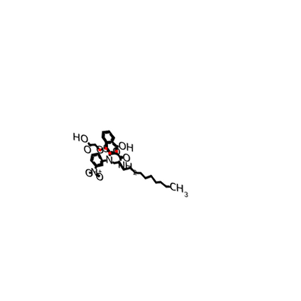 CCCCCCCCCCCCN(C(=O)SCCC(=O)O)c1cc([N+](=O)[O-])ccc1Oc1cc(C(N)=O)c(O)c2ccccc12